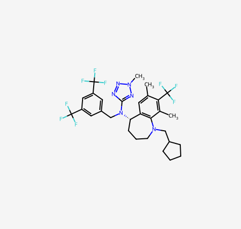 Cc1cc2c(c(C)c1C(F)(F)F)N(CC1CCCC1)CCC[C@@H]2N(Cc1cc(C(F)(F)F)cc(C(F)(F)F)c1)c1nnn(C)n1